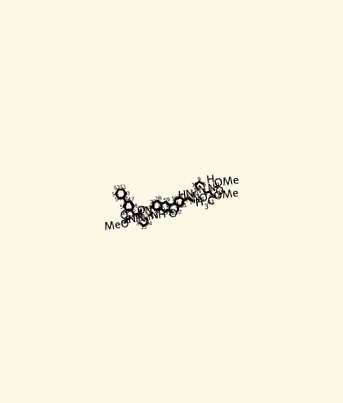 COC(=O)N[C@H](C(=O)N1CCC[C@H]1c1ncc(-c2ccc3c(c2)COc2cc4c(ccc5nc([C@@H]6CCCN6C(=O)[C@H](NC(=O)OC)c6ccc(C7CCCCC7)cc6)[nH]c54)cc2-3)[nH]1)[C@@H](C)OC